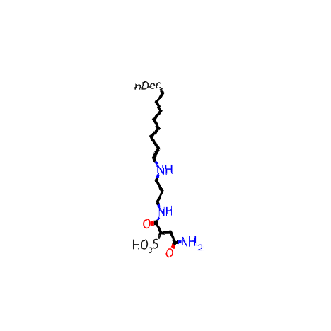 CCCCCCCCCCCCCCCCCCNCCCNC(=O)C(CC(N)=O)S(=O)(=O)O